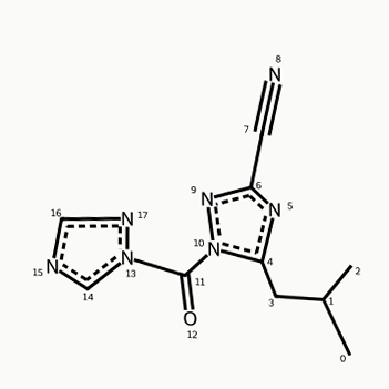 CC(C)Cc1nc(C#N)nn1C(=O)n1cncn1